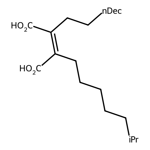 CCCCCCCCCCCC/C(C(=O)O)=C(\CCCCCC(C)C)C(=O)O